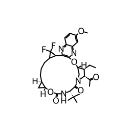 CC[C@@H]1[C@@H]2CN(C(=O)[C@H](C(C)(C)C)NC(=O)O[C@@H]3C[C@H]3CCCC3C(c4nc5ccc(OC)cc5nc4O2)C3(F)F)[C@@H]1C(C)=O